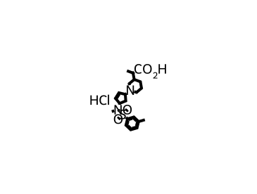 Cc1cccc(S(=O)(=O)N(C)C2C=CC(N3CCCC(C(C)C(=O)O)C3)C2)c1.Cl